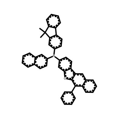 CC1(C)c2ccccc2-c2ccc(N(c3ccc4ccccc4c3)c3ccc4c(c3)oc3c(-c5ccccc5)c5ccccc5cc34)cc21